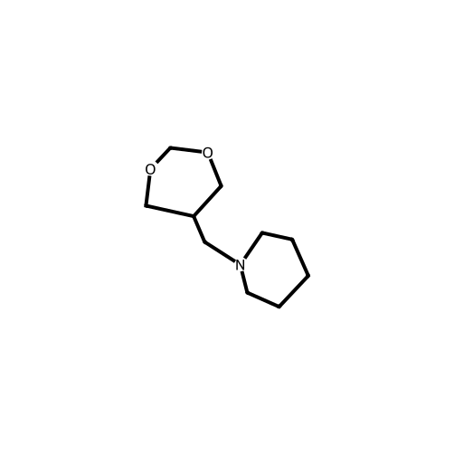 C1CCN(CC2COCOC2)CC1